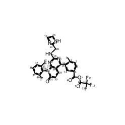 Cc1ccc(C(=O)OC(=O)C(F)(F)F)cc1-c1nc(NCc2ncc[nH]2)nc2c1ccc(=O)n2-c1c(F)cccc1F